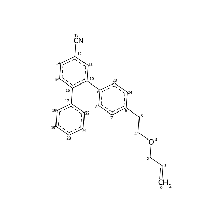 C=CCOCCc1ccc(-c2cc(C#N)ccc2-c2ccccc2)cc1